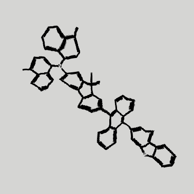 Cc1ccc(N(c2ccc3c(c2)C(C)(C)c2cc(-c4c5ccccc5c(-c5ccc6c(c5)sc5ccccc56)c5ccccc45)ccc2-3)c2ccc(C)c3ccccc23)c2ccccc12